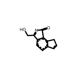 O=C1N=C(CO)c2ccc3c(c21)CC=C3